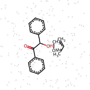 C=CC.COC.O=C(c1ccccc1)C(O)c1ccccc1